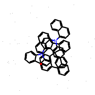 c1ccc(C2(c3ccccc3)c3ccccc3-c3cccc(-n4c5ccccc5c5ccc(-c6ccccc6-c6ccc(N(c7cccc8ccccc78)c7cccc8ccccc78)cc6)cc54)c32)cc1